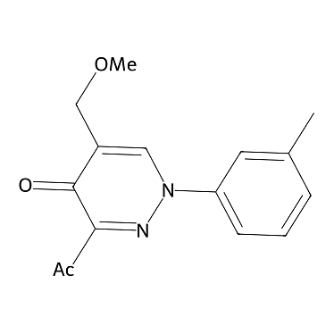 COCc1cn(-c2cccc(C)c2)nc(C(C)=O)c1=O